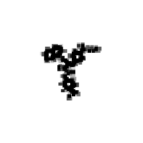 COC(=O)c1ccc(/C=C(\COc2cccc3ccccc23)C(=O)NCc2ccc(N(C)C)cc2)cc1